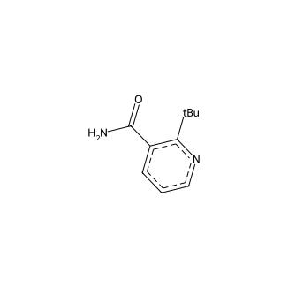 CC(C)(C)c1ncccc1C(N)=O